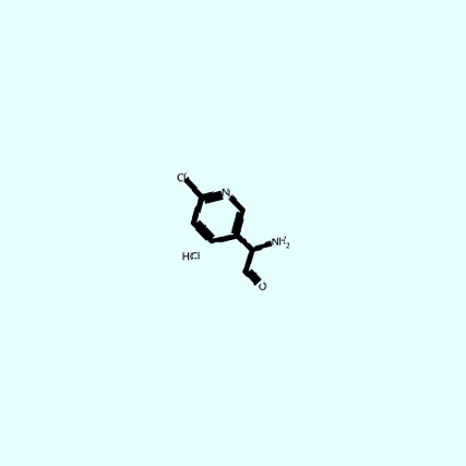 Cl.NC(C=O)c1ccc(Cl)nc1